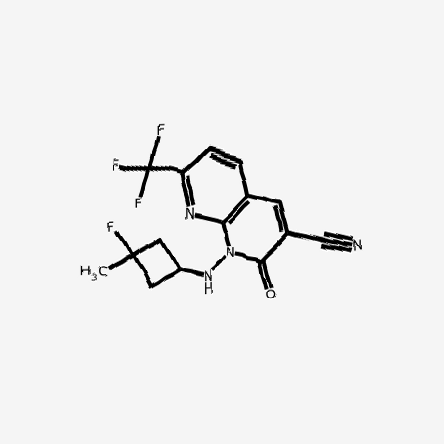 CC1(F)CC(Nn2c(=O)c(C#N)cc3ccc(C(F)(F)F)nc32)C1